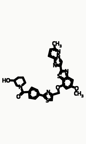 COc1cc(OCc2csc(-c3ccc(C(=O)N4CCCC(O)C4)cc3)n2)c2sc(-c3cn4nc(C)ccc4n3)nc2c1